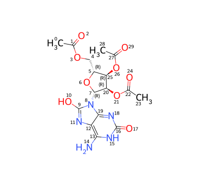 CC(=O)OC[C@H]1O[C@@H](n2c(O)nc3c(N)[nH]c(=O)nc32)[C@H](OC(C)=O)[C@@H]1OC(C)=O